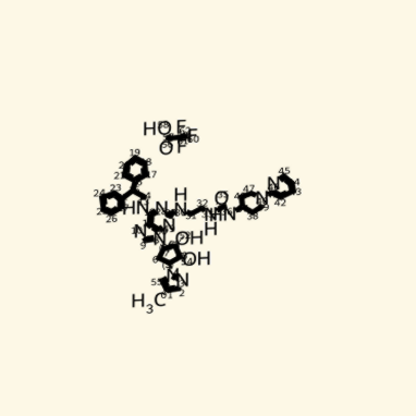 Cc1cnn([C@H]2C[C@@H](n3cnc4c(NCC(c5ccccc5)c5ccccc5)nc(NCCNC(=O)NC5CCN(c6ccccn6)CC5)nc43)[C@H](O)[C@@H]2O)c1.O=C(O)C(F)(F)F